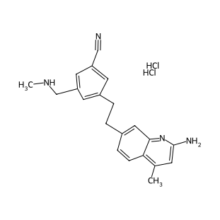 CNCc1cc(C#N)cc(CCc2ccc3c(C)cc(N)nc3c2)c1.Cl.Cl